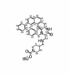 CC(C)(C)OC(=O)N1CCC(CNCC2C(=O)NC(Cc3ccc4ccccc4c3)C(=O)N2Cc2ccc(-c3ccccc3)cc2)CC1